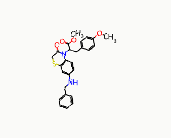 COC(=O)C(Cc1ccc(OC)cc1)N1C(=O)CSc2cc(NCc3ccccc3)ccc21